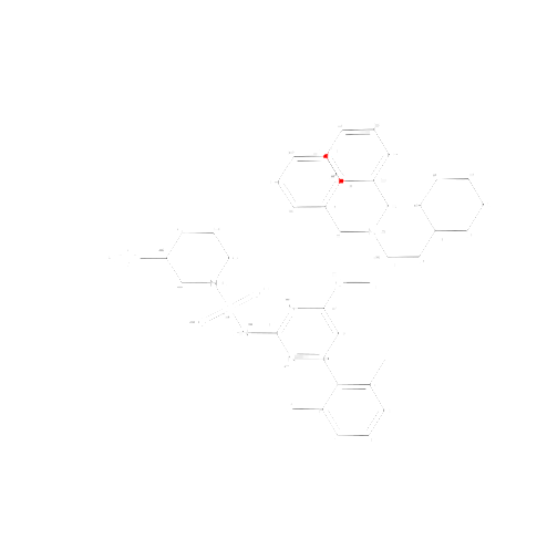 Cc1cccc(C)c1-c1cc(OC[C@@H](CC2CCCCC2)N(Cc2ccccc2)Cc2ccccc2)nc(NS(=O)(=O)N2CCCC(C(=O)O)C2)n1